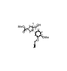 C#CCOc1cc([C@@H]2CN(C(=O)OC)C[C@@]2(C)[C@@H](C)O)ccc1OC